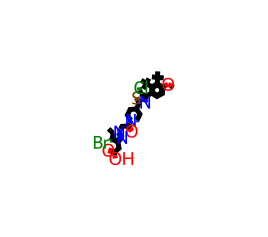 COc1ccc(-c2nc(C3CCN(C(=O)Cn4nc(CC(=O)O)c(Br)c4C)CC3)sc2Cl)c(C(C)(C)C)c1C(C)(C)C